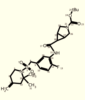 C=C1CCN(S(=O)(=O)Cc2ccc(F)c(NC(=O)C3C4CN(C(=O)OC(C)(C)C)CC43)c2)C(C)(C)C1